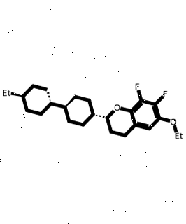 CCOc1cc2c(c(F)c1F)OC([C@H]1CC[C@H]([C@H]3CC[C@H](CC)CC3)CC1)CC2